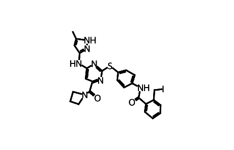 Cc1cc(Nc2cc(C(=O)N3CCC3)nc(Sc3ccc(NC(=O)c4ccccc4CI)cc3)n2)n[nH]1